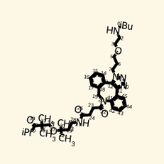 CCC(C)NCCOCCCn1nnc2c1-c1ccccc1CN(C(=O)CCC(=O)NCCC(C)(C)OCC(C)(C)C(=O)C(C)C)c1ccccc1-2